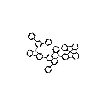 c1ccc(-c2ccc(N(c3ccc4c(c3)C3(c5ccccc5-c5ccccc53)c3ccccc3-4)c3ccccc3-c3cccc(-c4ccc5c6ccccc6n(-c6cc(-c7ccccc7)cc(-c7ccccc7)c6)c5c4)c3)cc2)cc1